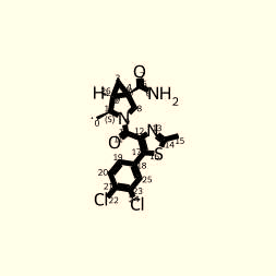 [CH2][C@H]1[C@H]2C[C@]2(C(N)=O)CN1C(=O)c1nc(C)sc1-c1ccc(Cl)c(Cl)c1